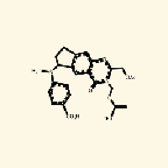 CC(=O)OCc1nc2cc3c(cc2c(=O)n1COC(=O)C(C)(C)C)C(N(C)c1ccc(C(=O)O)cc1)CC3